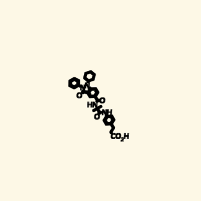 CC(C)(NC(=O)c1ccc2c(c1)c(=O)n(-c1ccccc1)n2C1CCCCC1)C(=O)Nc1ccc(CCC(=O)O)cc1